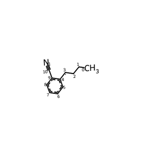 CCC[CH]c1ccccc1C#N